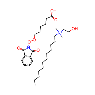 CCCCCCCCCCCC[N+](C)(C)CCO.O=C(O)CCCCCOON1C(=O)c2ccccc2C1=O